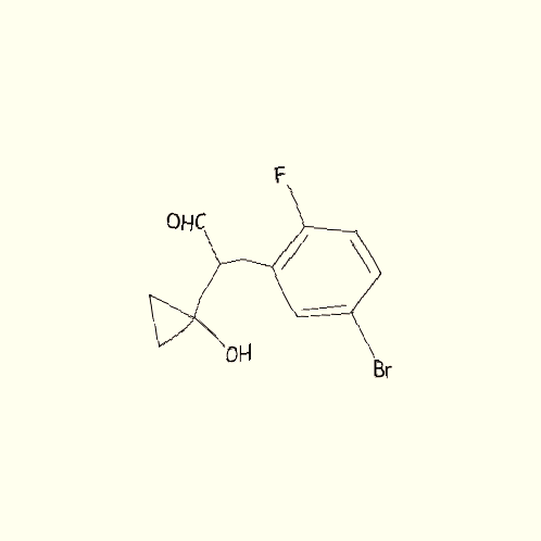 O=CC(c1cc(Br)ccc1F)C1(O)CC1